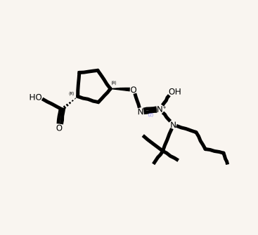 CCCCN(/[N+](O)=N/O[C@@H]1CC[C@@H](C(=O)O)C1)C(C)(C)C